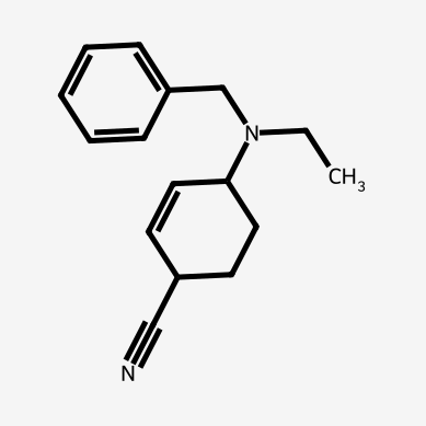 CCN(Cc1ccccc1)C1C=CC(C#N)CC1